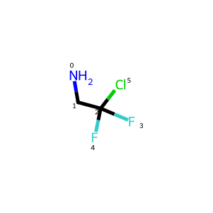 NCC(F)(F)Cl